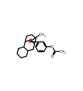 CC(=O)Oc1cccc(C2(C)OOC23C2CCCC3C3CCCCC3C2)c1